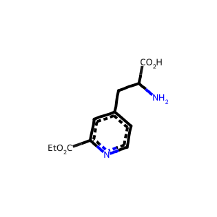 CCOC(=O)c1cc(CC(N)C(=O)O)ccn1